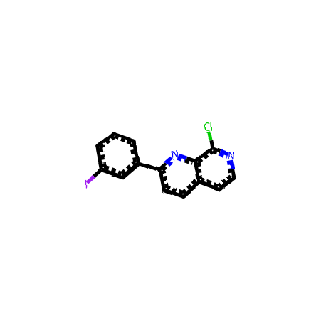 Clc1nccc2ccc(-c3cccc(I)c3)nc12